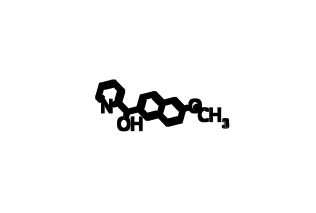 COc1ccc2cc(C(O)c3ccccn3)ccc2c1